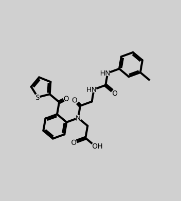 Cc1cccc(NC(=O)NCC(=O)N(CC(=O)O)c2ccccc2C(=O)c2cccs2)c1